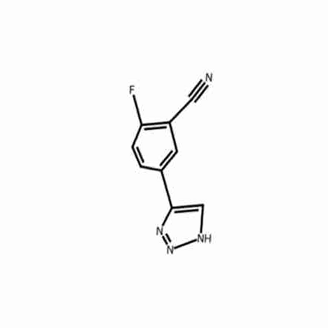 N#Cc1cc(-c2c[nH]nn2)ccc1F